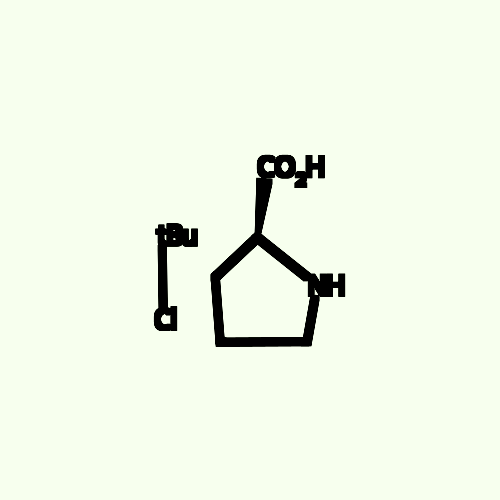 CC(C)(C)Cl.O=C(O)[C@@H]1CCCN1